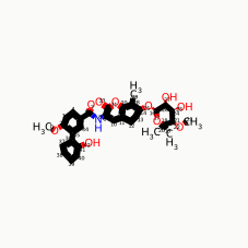 COc1ccc(C(=O)Nc2cc3ccc(O[C@@H]4OC(C)(C)[C@H](OC)[C@@H](O)[C@@H]4O)c(C)c3oc2=O)cc1-c1ccccc1O